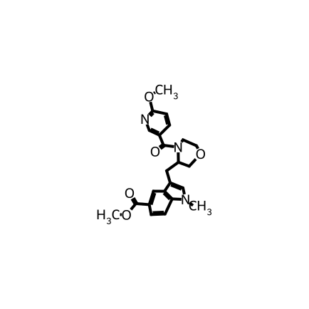 COC(=O)c1ccc2c(c1)c(CC1COCCN1C(=O)c1ccc(OC)nc1)cn2C